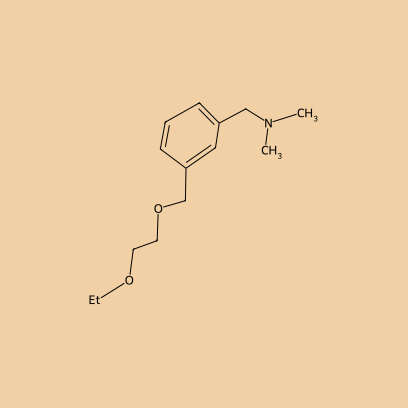 CCOCCOCc1cccc(CN(C)C)c1